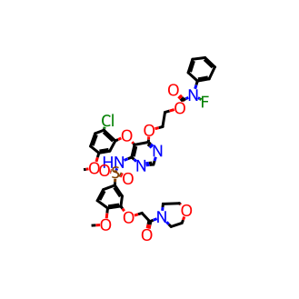 COc1ccc(Cl)c(Oc2c(NS(=O)(=O)c3ccc(OC)c(OCC(=O)N4CCOCC4)c3)ncnc2OCCOC(=O)N(F)c2ccccc2)c1